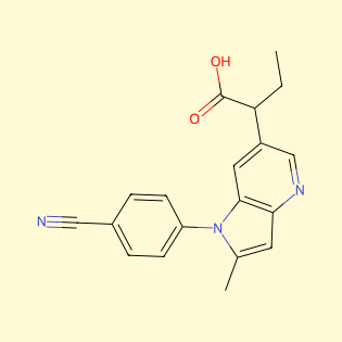 CCC(C(=O)O)c1cnc2cc(C)n(-c3ccc(C#N)cc3)c2c1